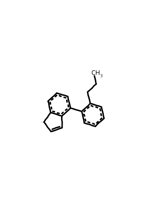 CCCc1ccccc1-c1cccc2c1C=C[CH]2